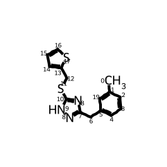 Cc1cccc(Cc2n[nH]c(SCc3cccs3)n2)c1